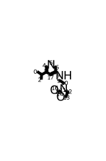 CC(C)c1cncc(NCCN2CCOC2=O)c1